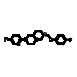 Fc1ccc(OC[C@@H]2CCC3CN(c4ccc(F)cn4)CCN3C2)cc1